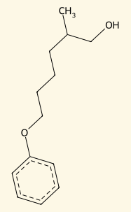 CC(CO)CCCCOc1ccccc1